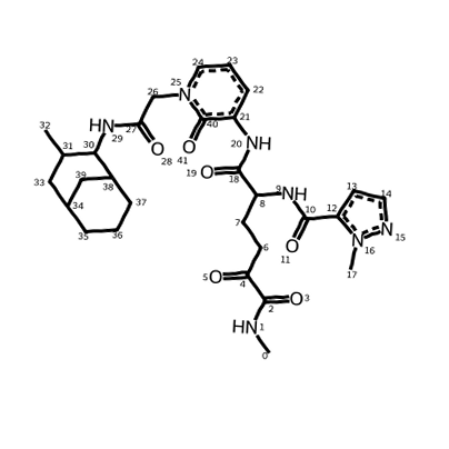 CNC(=O)C(=O)CCC(NC(=O)c1ccnn1C)C(=O)Nc1cccn(CC(=O)NC2C(C)CC3CCCC2C3)c1=O